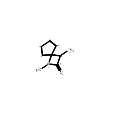 CC1C(=O)N(O)C12CCCC2